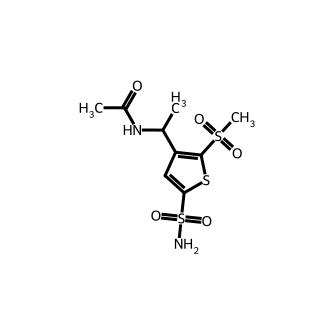 CC(=O)NC(C)c1cc(S(N)(=O)=O)sc1S(C)(=O)=O